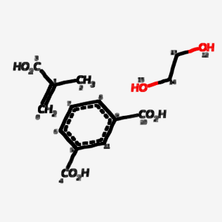 C=C(C)C(=O)O.O=C(O)c1cccc(C(=O)O)c1.OCCO